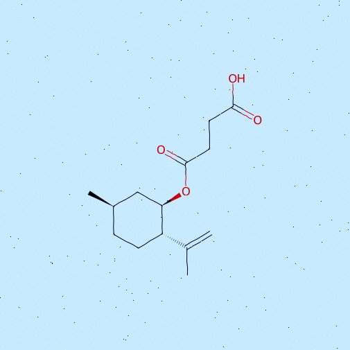 C=C(C)[C@@H]1CC[C@@H](C)C[C@H]1OC(=O)CCC(=O)O